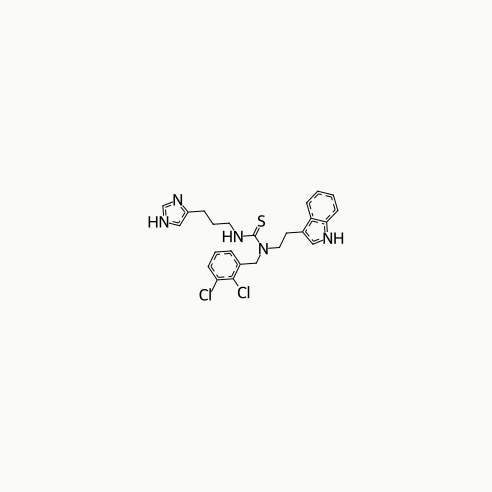 S=C(NCCCc1c[nH]cn1)N(CCc1c[nH]c2ccccc12)Cc1cccc(Cl)c1Cl